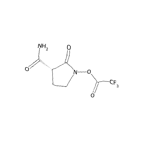 NC(=O)[C@H]1CCN(OC(=O)C(F)(F)F)C1=O